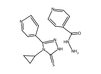 NNC(=O)c1ccncc1.S=c1[nH]nc(-c2ccncc2)n1C1CC1